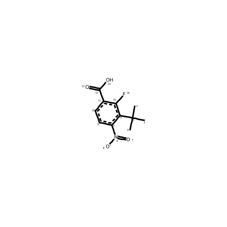 CC(C)(C)c1c([N+](=O)[O-])ccc(C(=O)O)c1F